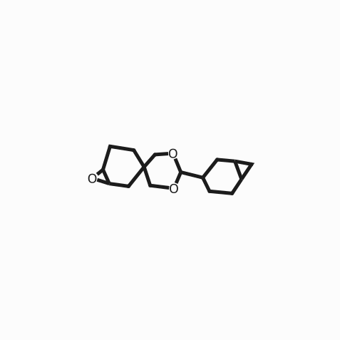 C1CC(C2OCC3(CCC4OC4C3)CO2)CC2CC12